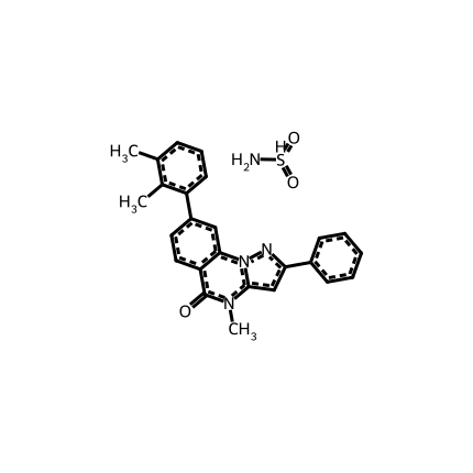 Cc1cccc(-c2ccc3c(=O)n(C)c4cc(-c5ccccc5)nn4c3c2)c1C.N[SH](=O)=O